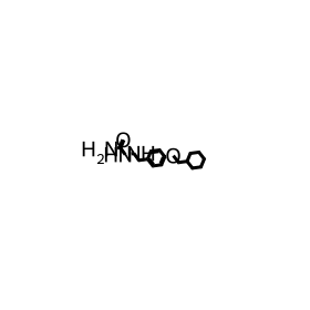 NC(=O)NNCc1ccc(OCC2CCCCC2)cc1